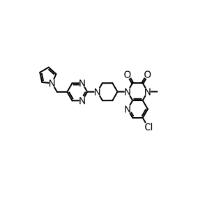 Cn1c(=O)c(=O)n(C2CCN(c3ncc(Cn4cccc4)cn3)CC2)c2ncc(Cl)cc21